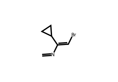 C=N/C(=C/Br)C1CC1